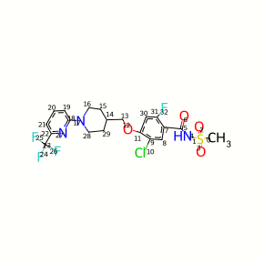 CS(=O)(=O)NC(=O)c1cc(Cl)c(OCC2CCN(c3cccc(C(F)(F)F)n3)CC2)cc1F